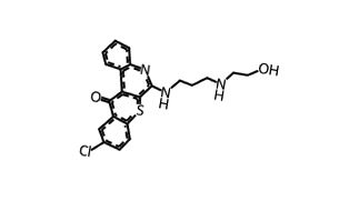 O=c1c2cc(Cl)ccc2sc2c(NCCCNCCO)nc3ccccc3c12